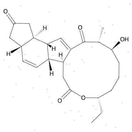 CC[C@H]1CCC[C@H](O)[C@@H](C)C(=O)C2=C[C@@H]3[C@@H](C=C[C@@H]4CC(=O)C[C@@H]34)[C@@H]2CC(=O)O1